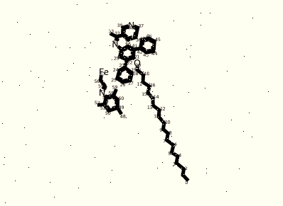 CCCCCCCCCCCCCCCCCCCCOc1c(-c2ccccc2)cc(N=C(C)c2cccnc2)cc1-c1ccccc1.Cc1cc(C)c(N=C[CH2][Fe])c(C)c1